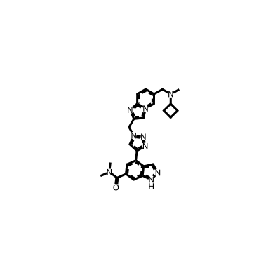 CN(C)C(=O)c1cc(-c2cn(Cc3cn4cc(CN(C)C5CCC5)ccc4n3)nn2)c2cn[nH]c2c1